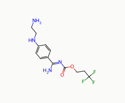 NCCNc1ccc(/C(N)=N/C(=O)OCCC(F)(F)F)cc1